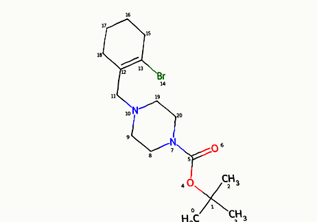 CC(C)(C)OC(=O)N1CCN(CC2=C(Br)CCCC2)CC1